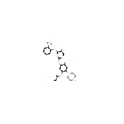 C=CC(=O)Nc1cc(Nc2ncc(Cl)c(Nc3ccccc3S(=O)(=O)C(C)C)n2)c(OC)cc1N1CCN(CC)CC1